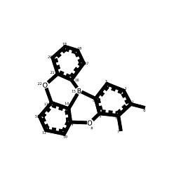 Cc1ccc2c(c1C)Oc1cccc3c1B2c1ccccc1O3